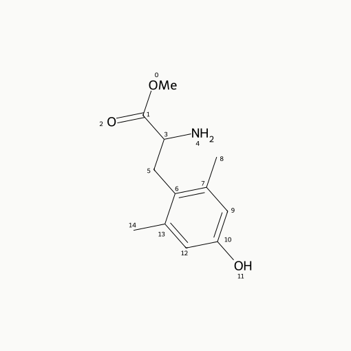 COC(=O)C(N)Cc1c(C)cc(O)cc1C